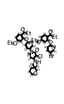 CCOc1ccc(C(=O)CC)c(Oc2ccc(-n3ncc(NCC4(F)CCCOC4)c(Cl)c3=O)cn2)c1.CCOc1ccc(C(=O)CC)c(Oc2ccc(Br)cn2)c1